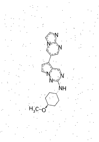 CO[C@H]1CC[C@H](Nc2ncc3c(-c4cnc5nccn5c4)ccn3n2)CC1